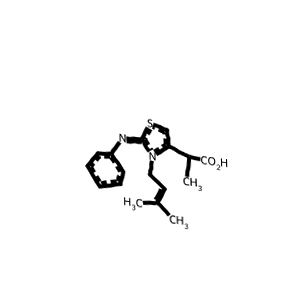 CC(C)=CCn1c(C(C)C(=O)O)csc1=Nc1ccccc1